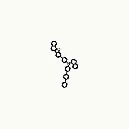 c1ccc(-c2ccc(-c3ccc(N(c4ccc(-c5ccc6c(c5)oc5c7ccccc7ccc65)cc4)c4cccc5ccccc45)cc3)cc2)cc1